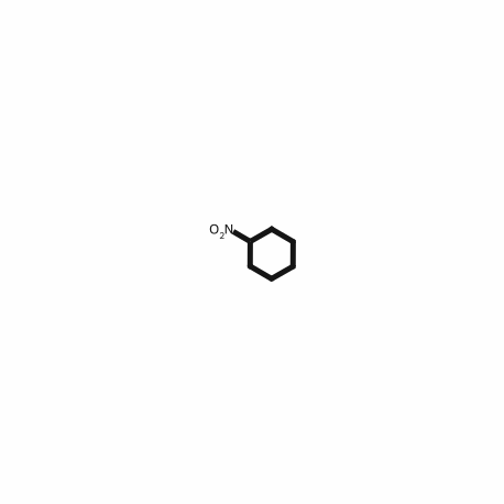 O=[N+]([O-])C1[CH]CCCC1